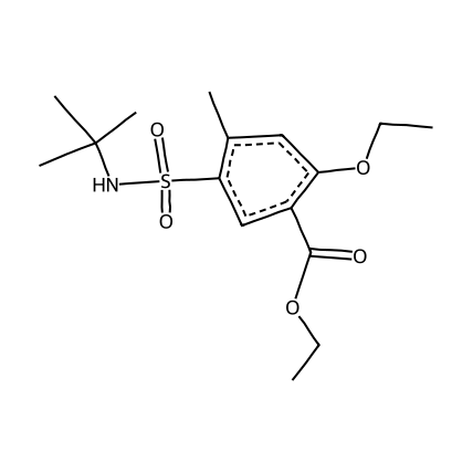 CCOC(=O)c1cc(S(=O)(=O)NC(C)(C)C)c(C)cc1OCC